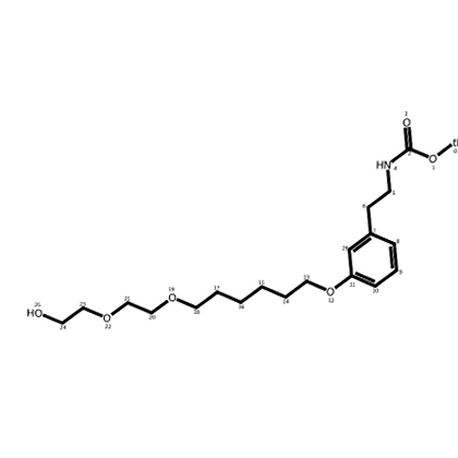 CC(C)(C)OC(=O)NCCc1cccc(OCCCCCCOCCOCCO)c1